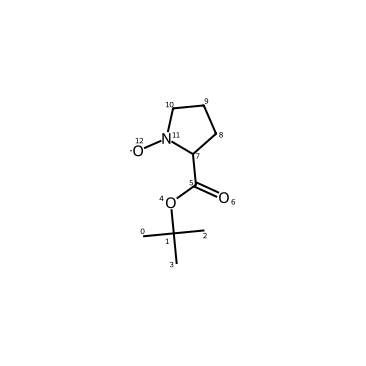 CC(C)(C)OC(=O)C1CCCN1[O]